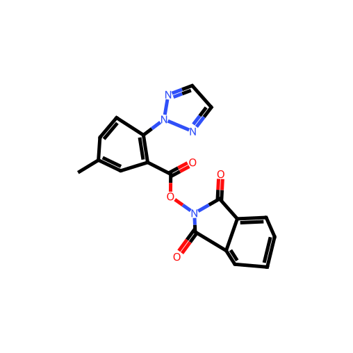 Cc1ccc(-n2nccn2)c(C(=O)ON2C(=O)c3ccccc3C2=O)c1